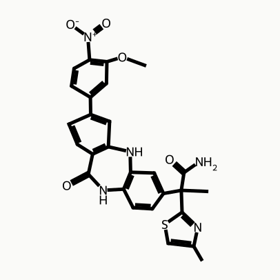 COc1cc(-c2ccc3c(c2)Nc2cc(C(C)(C(N)=O)c4nc(C)cs4)ccc2NC3=O)ccc1[N+](=O)[O-]